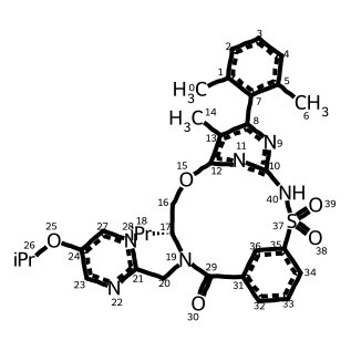 Cc1cccc(C)c1-c1nc2nc(c1C)OC[C@@H](C(C)C)N(Cc1ncc(OC(C)C)cn1)C(=O)c1cccc(c1)S(=O)(=O)N2